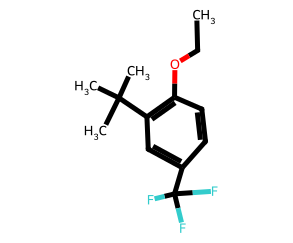 CCOc1ccc(C(F)(F)F)cc1C(C)(C)C